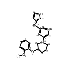 CCOc1ccccc1OC1CCCN(c2cncc(Nc3cc[nH]n3)n2)C1